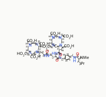 CN[C@@H](CC(C)C)C(=O)NCc1ccc(CNC(=O)[C@H](CCNC(=O)CCC(C(=O)O)N2CCN(CC(=O)O)CCN(CC(=O)O)CCN(CC(=O)O)CC2)NC(=O)CCC(C(=O)O)N2CCN(CC(=O)O)CCN(CC(=O)O)CCN(CC(=O)O)CC2)cc1